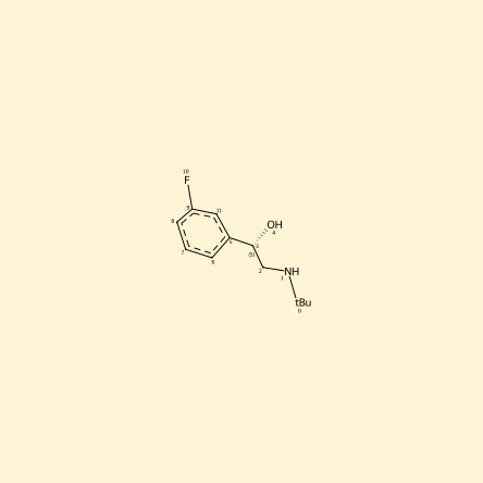 CC(C)(C)NC[C@@H](O)c1cccc(F)c1